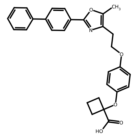 Cc1oc(-c2ccc(-c3ccccc3)cc2)nc1CCOc1ccc(OC2(C(=O)O)CCC2)cc1